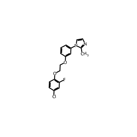 Cc1nccn1-c1cccc(OCCOc2ccc(Cl)cc2F)c1